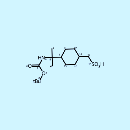 CC(C)(C)OC(=O)NC(C)(C)C1CCC(CS(=O)(=O)O)CC1